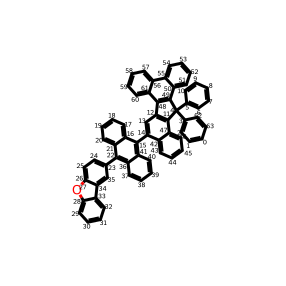 c1ccc(C2(c3ccccc3)c3c(cc(-c4c5ccccc5c(-c5ccc6oc7ccccc7c6c5)c5ccccc45)c4ccccc34)-c3c2c2ccccc2c2ccccc32)cc1